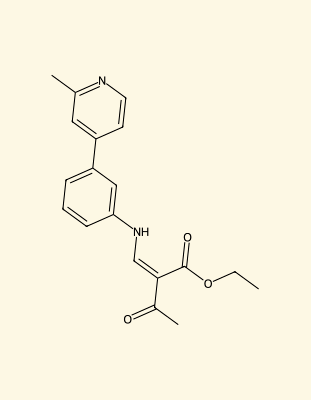 CCOC(=O)C(=CNc1cccc(-c2ccnc(C)c2)c1)C(C)=O